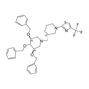 FC(F)(F)c1csc(N2CCC[C@@H](CN3C[C@H](OCc4ccccc4)C(OCc4ccccc4)[C@H](OCc4ccccc4)C3)C2)n1